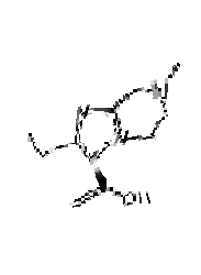 C=C(O)c1c(CC)nc2n1CCN(C)C2